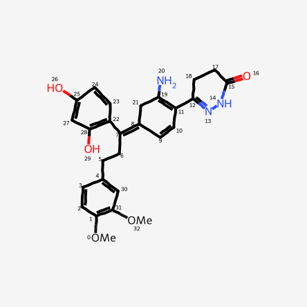 COc1ccc(CCC(=C2C=CC(C3=NNC(=O)CC3)=C(N)C2)c2ccc(O)cc2O)cc1OC